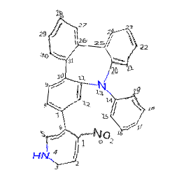 O=[N+]([O-])C1=CCNC=C1c1ccc2c(c1)N(c1ccccc1)c1ccccc1-c1ccccc1-2